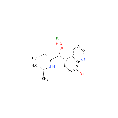 CCC(NC(C)C)C(O)c1ccc(O)c2ncccc12.Cl.O